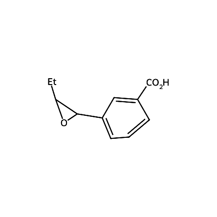 CCC1OC1c1cccc(C(=O)O)c1